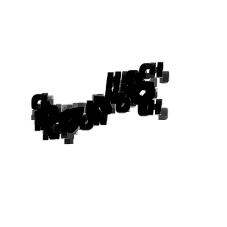 CC(C)[C@@H]1CC[C@@H](C)C[C@H]1NC(=O)Nc1cnc(Oc2ccc(-c3cc(Cl)cnc3N)cc2)nc1